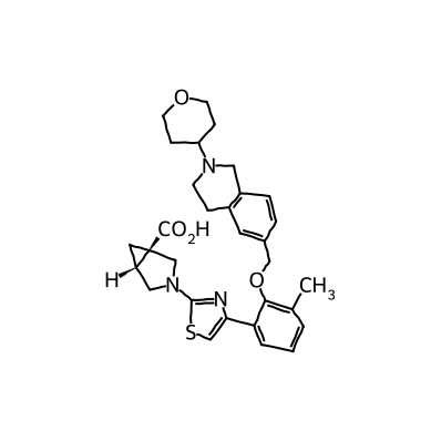 Cc1cccc(-c2csc(N3C[C@@H]4C[C@]4(C(=O)O)C3)n2)c1OCc1ccc2c(c1)CCN(C1CCOCC1)C2